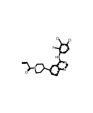 C=CC(=O)N1CCC(c2ccc3ncnc(Nc4ccc(Cl)c(Cl)c4F)c3c2)CC1